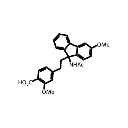 COc1ccc2c(c1)-c1ccccc1C2(CCc1ccc(C(=O)O)c(OC)c1)NC(C)=O